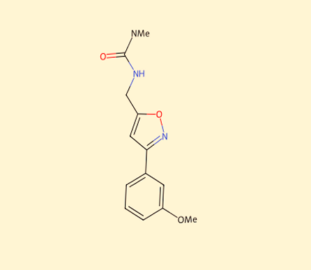 CNC(=O)NCc1cc(-c2cccc(OC)c2)no1